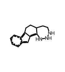 C1=c2ccccc2=C2CCC3CCNNNC3=C12